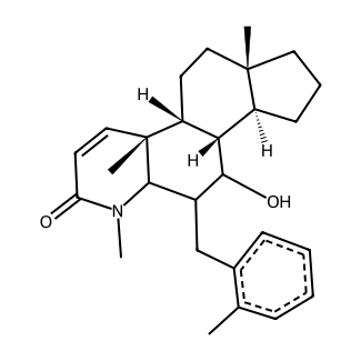 Cc1ccccc1CC1C(O)[C@@H]2[C@@H](CC[C@]3(C)CCC[C@@H]23)[C@@]2(C)C=CC(=O)N(C)C12